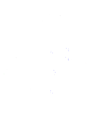 O=c1cc(CN2CCCC2Cc2cccc(Cl)c2)[nH]c2nc(-c3ccccc3)nn12